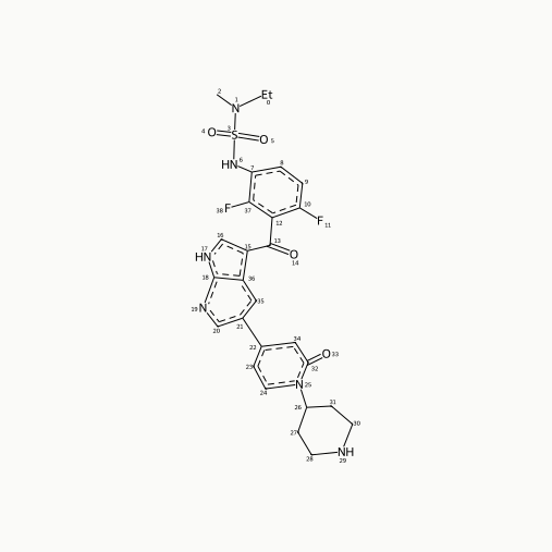 CCN(C)S(=O)(=O)Nc1ccc(F)c(C(=O)c2c[nH]c3ncc(-c4ccn(C5CCNCC5)c(=O)c4)cc23)c1F